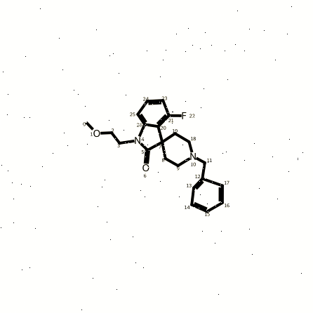 COCCN1C(=O)C2(CCN(Cc3ccccc3)CC2)c2c(F)cccc21